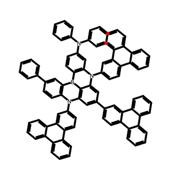 c1ccc(-c2ccc3c(c2)B2c4ccc(N(c5ccccc5)c5ccccc5)cc4N(c4ccc5c6ccccc6c6ccccc6c5c4)c4cc(-c5ccc6c7ccccc7c7ccccc7c6c5)cc(c42)N3c2ccc3c4ccccc4c4ccccc4c3c2)cc1